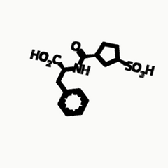 O=C(N[C@@H](Cc1ccccc1)C(=O)O)[C@H]1CC[C@@H](S(=O)(=O)O)C1